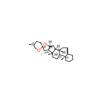 C[C@H]1CC[C@@]2(OC1)O[C@H]1C[C@H]3[C@@H]4CC=C5CCCC[C@]5(C)[C@H]4CC[C@]3(C)[C@H]1[C@@H]2C